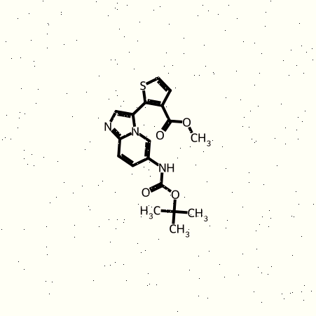 COC(=O)c1ccsc1-c1cnc2ccc(NC(=O)OC(C)(C)C)cn12